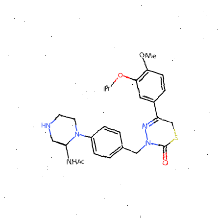 COc1ccc(C2=NN(Cc3ccc(N4CCNCC4NC(C)=O)cc3)C(=O)SC2)cc1OC(C)C